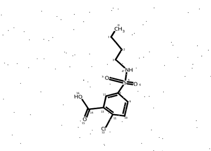 CCCCNS(=O)(=O)c1ccc(Cl)c(C(=O)O)c1